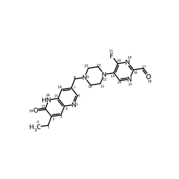 CCc1cc2ncc(CN3CCN(c4cnc(C=O)nc4F)CC3)cc2[nH]c1=O